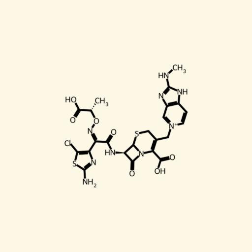 CNc1nc2c[n+](CC3=C(C(=O)O)N4C(=O)[C@@H](NC(=O)/C(=N\O[C@@H](C)C(=O)O)c5nc(N)sc5Cl)C4SC3)ccc2[nH]1